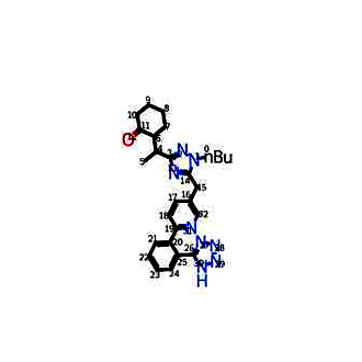 CCCCn1nc(C(C)C2CCCCC2=O)nc1Cc1ccc(-c2ccccc2-c2nnn[nH]2)nc1